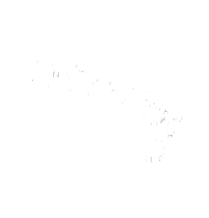 CCN(CC)c1ccc(/C=C/c2ccc(OS(=O)(=O)OCCO)cc2)cc1